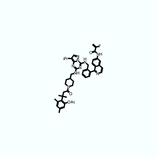 C=C(F)C(=O)Nc1ccc2c(-c3ccccc3CNc3nc(NCC4CCN(C(=O)CC(C)(C)c5c(C)cc(C)cc5OC(C)=O)CC4)nc4c(C(C)C)cnn34)nccc2c1